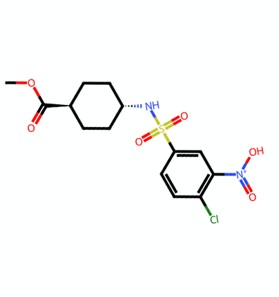 COC(=O)[C@H]1CC[C@H](NS(=O)(=O)c2ccc(Cl)c([N+](=O)O)c2)CC1